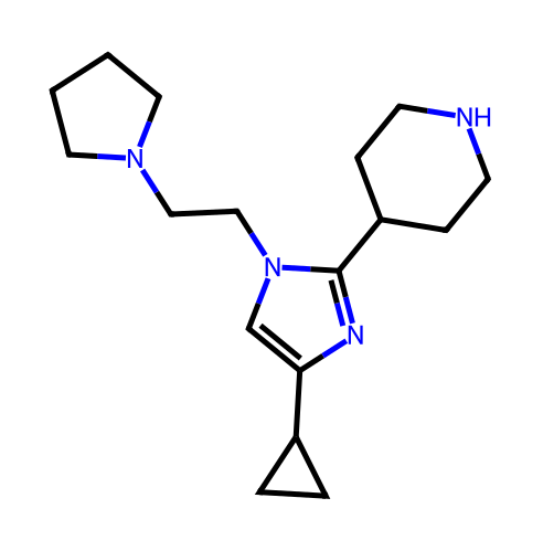 c1c(C2CC2)nc(C2CCNCC2)n1CCN1CCCC1